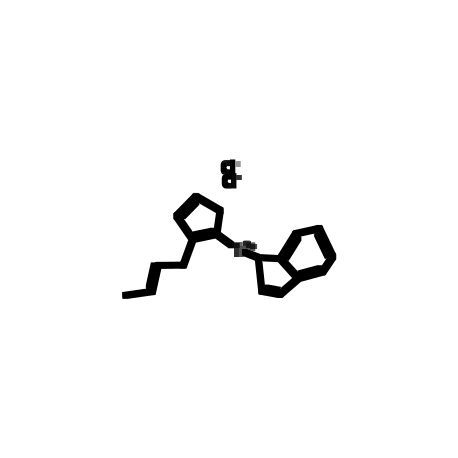 CC=CCC1=[C]([Ti+2][CH]2C=Cc3ccccc32)CC=C1.[Cl-].[Cl-]